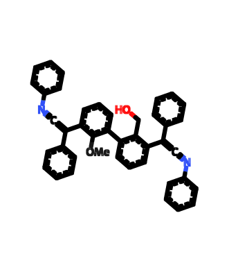 COc1c(C(=C=Nc2ccccc2)c2ccccc2)cccc1-c1cccc(C(=C=Nc2ccccc2)c2ccccc2)c1CO